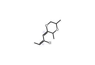 C/C=C(Cl)\C=C1\OCC(C)OC1C